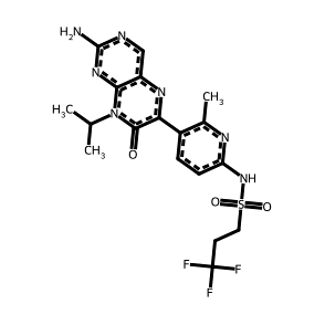 Cc1nc(NS(=O)(=O)CCC(F)(F)F)ccc1-c1nc2cnc(N)nc2n(C(C)C)c1=O